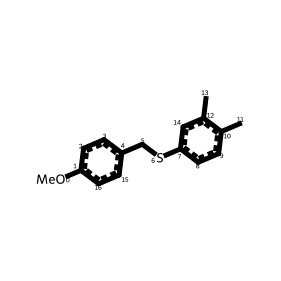 COc1ccc(CSc2ccc(C)c(C)c2)cc1